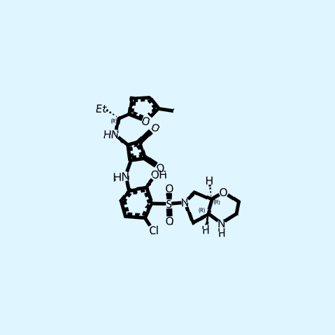 CC[C@@H](Nc1c(Nc2ccc(Cl)c(S(=O)(=O)N3C[C@H]4NCCO[C@@H]4C3)c2O)c(=O)c1=O)c1ccc(C)o1